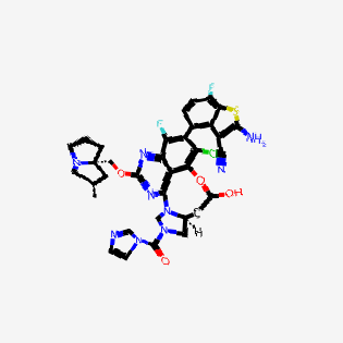 C[C@H]1CN2CCC[C@@]2(COc2nc3c4c(c(Cl)c(-c5ccc(F)c6sc(N)c(C#N)c56)c(F)c4n2)OC(O)C[C@H]2CN(C(=O)n4ccnc4)CN32)C1